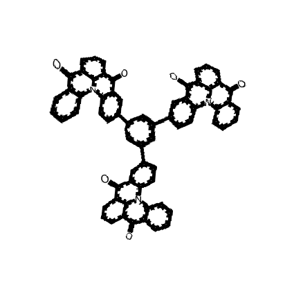 O=c1c2ccccc2n2c3ccc(-c4cc(-c5ccc6c(c5)c(=O)c5cccc7c(=O)c8ccccc8n6c75)cc(-c5ccc6c(c5)c(=O)c5cccc7c(=O)c8ccccc8n6c75)c4)cc3c(=O)c3cccc1c32